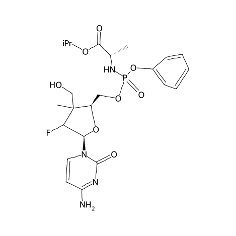 CC(C)OC(=O)[C@H](C)NP(=O)(OC[C@H]1O[C@@H](n2ccc(N)nc2=O)C(F)C1(C)CO)Oc1ccccc1